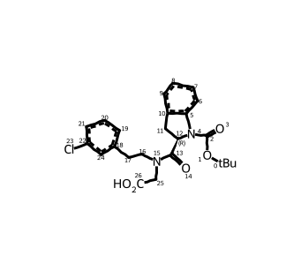 CC(C)(C)OC(=O)N1c2ccccc2C[C@@H]1C(=O)N(CCc1cccc(Cl)c1)CC(=O)O